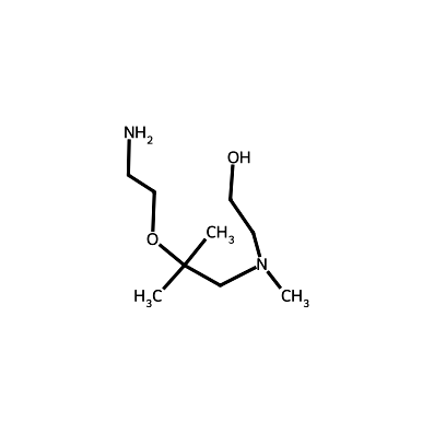 CN(CCO)CC(C)(C)OCCN